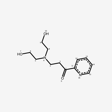 O=C(CCN(CCO)CCO)c1ccccn1